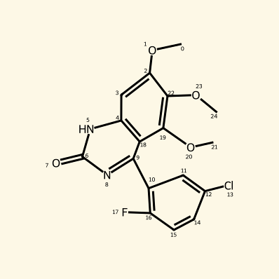 COc1cc2[nH]c(=O)nc(-c3cc(Cl)ccc3F)c2c(OC)c1OC